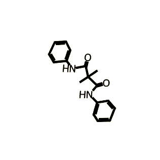 CC(C)(C(=O)Nc1ccccc1)C(=O)Nc1ccccc1